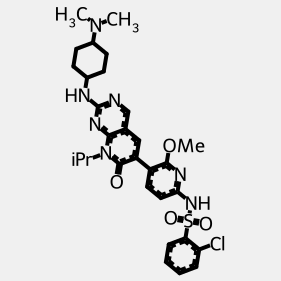 COc1nc(NS(=O)(=O)c2ccccc2Cl)ccc1-c1cc2cnc(NC3CCC(N(C)C)CC3)nc2n(C(C)C)c1=O